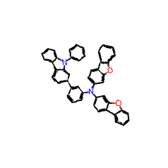 c1ccc(-n2c3ccccc3c3ccc(-c4cccc(N(c5ccc6c(c5)oc5ccccc56)c5ccc6c(c5)oc5ccccc56)c4)cc32)cc1